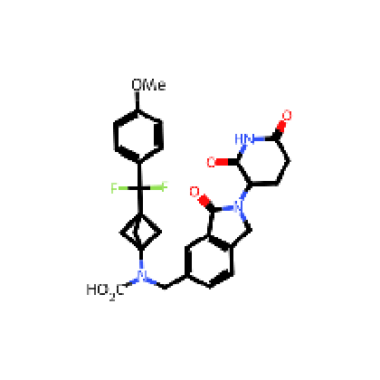 COc1ccc(C(F)(F)C23CC(N(Cc4ccc5c(c4)C(=O)N(C4CCC(=O)NC4=O)C5)C(=O)O)(C2)C3)cc1